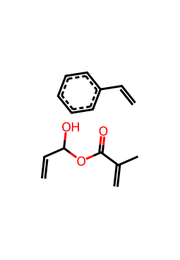 C=CC(O)OC(=O)C(=C)C.C=Cc1ccccc1